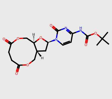 CC(C)(C)OC(=O)Nc1ccn([C@H]2C[C@@H]3COC(=O)CCC(=O)OC[C@H]3O2)c(=O)n1